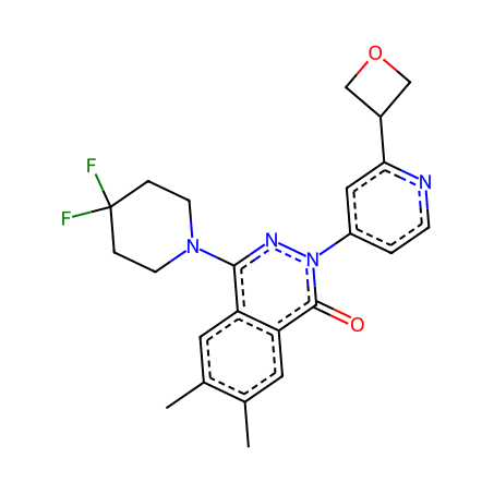 Cc1cc2c(N3CCC(F)(F)CC3)nn(-c3ccnc(C4COC4)c3)c(=O)c2cc1C